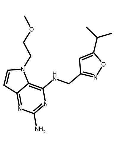 COCCn1ccc2nc(N)nc(NCc3cc(C(C)C)on3)c21